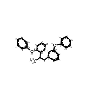 CC(Cc1cccc(Oc2ccccc2)c1)c1ccccc1Oc1ccccc1